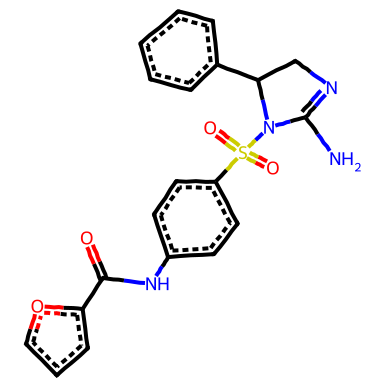 NC1=NCC(c2ccccc2)N1S(=O)(=O)c1ccc(NC(=O)c2ccco2)cc1